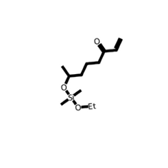 C=CC(=O)CCCC(C)O[Si](C)(C)OCC